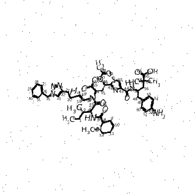 CC[C@H](C)[C@H](NC(=O)C1CCCCN1C)C(=O)N(CCCCc1cn(Cc2ccccc2)nn1)[C@H](C[C@@H](OC(C)=O)c1nc(C(=O)NC(Cc2ccc(N)cc2)CC(C)(C)C(=O)O)cs1)C(C)C